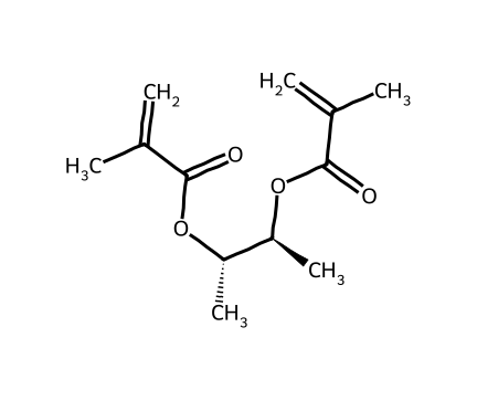 C=C(C)C(=O)O[C@@H](C)[C@H](C)OC(=O)C(=C)C